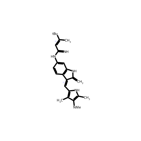 C=c1[nH]c2cc(NC(=N)/C=C(\C)C(C)(C)C)ccc2/c1=C/c1[nH]c(C)c(NC)c1C